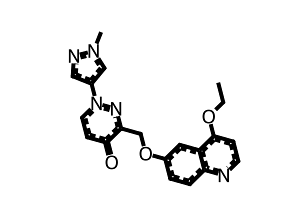 CCOc1ccnc2ccc(OCc3nn(-c4cnn(C)c4)ccc3=O)cc12